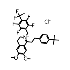 COc1cc2c(cc1OC)C(CCc1ccc(C(C)(C)C)cc1)=[N+](Cc1c(F)c(F)c(C(F)(F)F)c(F)c1F)CC2.[Cl-]